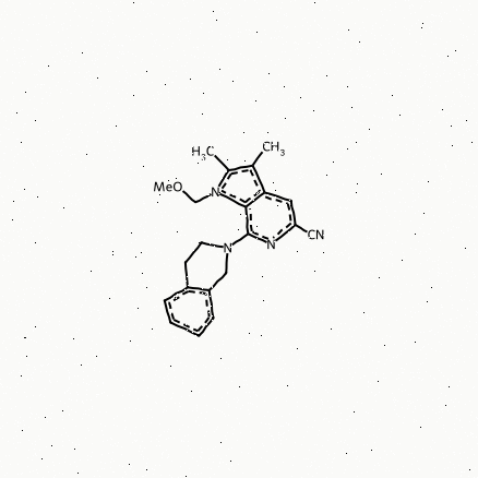 COCn1c(C)c(C)c2cc(C#N)nc(N3CCc4ccccc4C3)c21